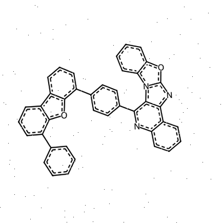 c1ccc(-c2cccc3c2oc2c(-c4ccc(-c5nc6ccccc6c6nc7oc8ccccc8n7c56)cc4)cccc23)cc1